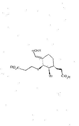 CCCCCCCC/C=C1\CC[C@@H](CC(=O)O)[C@@H](O)[C@H]1SCCC(=O)OCC